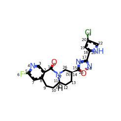 O=C1c2cnc(F)cc2CC[C@@H]2CC[C@H](c3nc(-c4cc(Cl)c[nH]4)no3)CN12